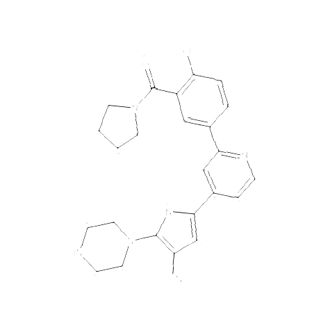 N#Cc1cc(-c2ccnc(-c3ccc(Cl)c(C(=O)N4CCCC4)c3)c2)[nH]c1N1CCNCC1